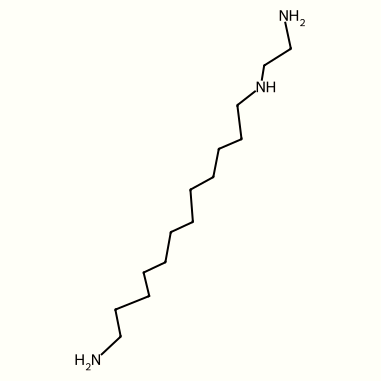 NCCCCCCCCCCCCNCCN